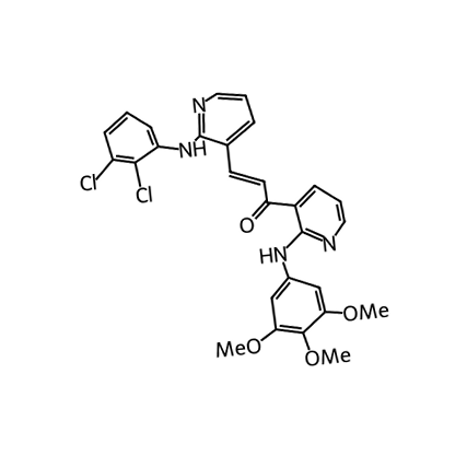 COc1cc(Nc2ncccc2C(=O)C=Cc2cccnc2Nc2cccc(Cl)c2Cl)cc(OC)c1OC